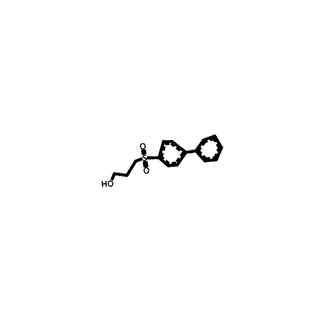 O=S(=O)(CCCO)c1ccc(-c2ccccc2)cc1